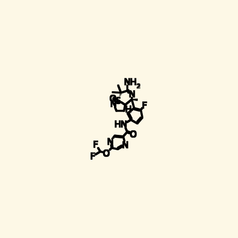 CC1(C)C(N)=N[C@](C)(c2cc(NC(=O)c3cnc(OC(F)F)cn3)ccc2F)[C@@H]2CCN=[S@@]21=O